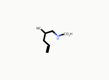 C=CCC(C#N)CNC(=O)O